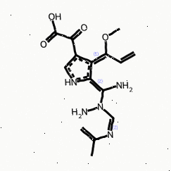 C=C/C(OC)=c1/c(C(=O)C(=O)O)c[nH]/c1=C(/N)N(N)/C=N\C(=C)C